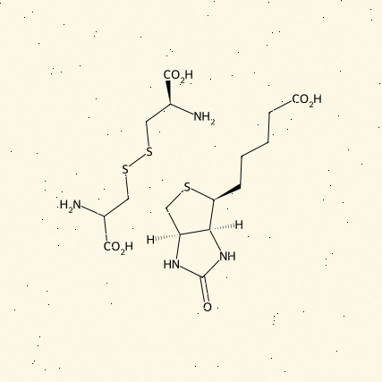 NC(CSSC[C@H](N)C(=O)O)C(=O)O.O=C(O)CCCC[C@@H]1SC[C@@H]2NC(=O)N[C@@H]21